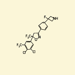 FC(F)(F)c1cc([C@]2(C(F)(F)F)CC(c3ccc(C4(F)CNC4)cc3)=NO2)cc(Cl)c1Cl